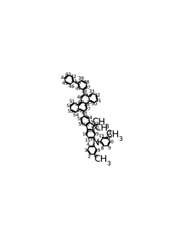 Cc1cccc(N(c2cccc(C)c2)c2ccc3c(c2)C(C)(C)c2cc(-c4cc5c6ccccc6c(-c6cccc(-c7ccccc7)c6)cc5c5ccccc45)ccc2-3)c1